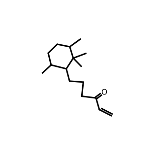 C=CC(=O)CCCC1C(C)CCC(C)C1(C)C